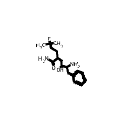 CC(C)(F)CCC(CC(O)C(N)Cc1ccccc1)C(N)=O